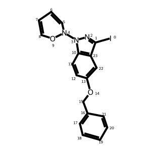 Ic1nn(N2C=CC=CO2)c2ccc(OCc3ccccc3)cc12